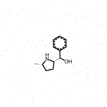 C[C@H]1CC[C@@H](C(O)c2ccccc2)N1